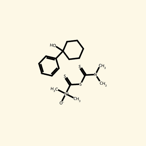 CN(C)C(=S)SC(=S)[N+](C)(C)[O-].OC1(c2cc[c]cc2)CCCCC1